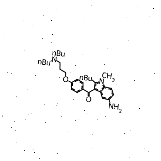 CCCCc1c(C(=O)c2ccc(OCCCN(CCCC)CCCC)cc2)c2cc(N)ccc2n1C